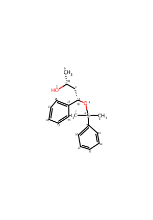 C[C@@H](O)C[C@H](O[Si](C)(C)c1ccccc1)c1ccccc1